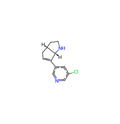 Clc1cncc(C2=CC[C@@H]3CCN[C@H]23)c1